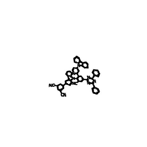 N#Cc1cc(C#N)cc(-c2ccc3c(c2)c2ccccc2n3-c2c(C#N)cc(-c3nc(-c4ccccc4)nc(-c4ccccc4)n3)cc2-c2cc(-n3c4ccccc4c4ccccc43)ccn2)c1